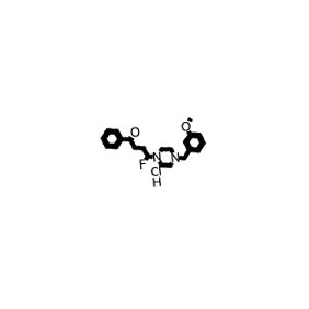 COc1cccc(CN2CCN(C(F)CCC(=O)c3ccccc3)CC2)c1.Cl